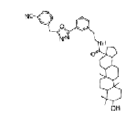 CC1(C)C(O)CCC2(C)C1CCC1(C)C3CCC4(C(=O)NCCc5cccc(-c6nnc(Cc7cccc(C#N)c7)o6)c5)CCCC4C3CCC12